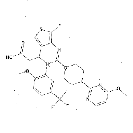 COc1ccnc(N2CCN(C3=Nc4c(csc4F)C(CC(=O)O)N3c3cc(C(F)(F)F)ccc3OC)CC2)n1